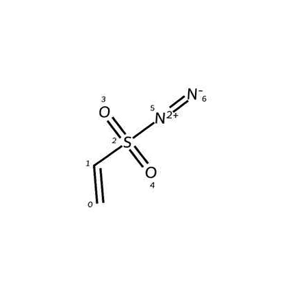 C=CS(=O)(=O)[N+2]=[N-]